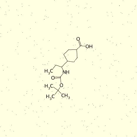 CCC(NC(=O)OC(C)(C)C)C1CCC(C(=O)O)CC1